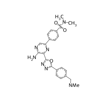 CNCc1ccc(-c2nnc(-c3nc(-c4ccc(S(=O)(=O)N(C)C)cc4)cnc3N)o2)cc1